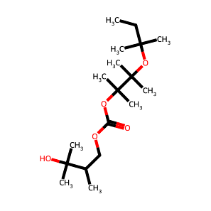 CCC(C)(C)OC(C)(C)C(C)(C)OC(=O)OCC(C)C(C)(C)O